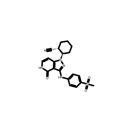 CS(=O)(=O)c1ccc(Nc2nn([C@@H]3CCCC[C@H]3C#N)c3cc[nH]c(=O)c23)cc1